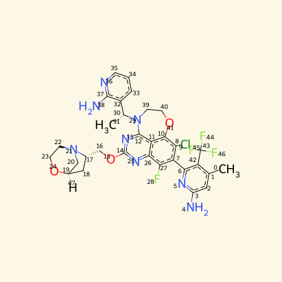 Cc1cc(N)nc(-c2c(Cl)c3c4c(nc(OC[C@@H]5C[C@@H]6C[N@@]5CCO6)nc4c2F)N([C@H](C)c2cccnc2N)CCO3)c1C(F)(F)F